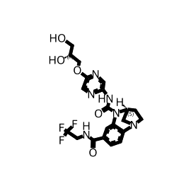 O=C(NCC(F)(F)F)c1ccc2c(c1)N(C(=O)Nc1cnc(OC[C@H](O)CO)cn1)[C@H]1CCN2C1